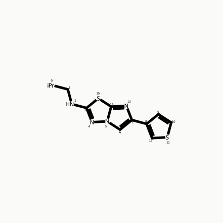 CC(C)CNc1nn2cc(-c3ccsc3)nc2s1